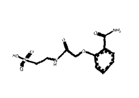 NC(=O)c1ccccc1OCC(=O)NCCS(=O)(=O)O